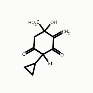 C=C1C(=O)C(CC)(C2CC2)C(=O)CC1(O)C(=O)O